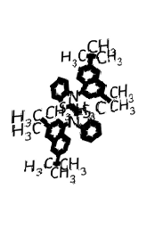 CC(C)(C)c1ccc2c(N3/C(=C4\Sc5ccccc5N4c4cc(C(C)(C)C)cc5cc(C(C)(C)C)ccc45)Sc4ccccc43)cc(C(C)(C)C)cc2c1